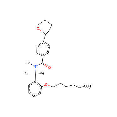 [2H]C([2H])(c1ccccc1OCCCCCC(=O)O)N(C(=O)c1ccc(C2CCCCO2)cc1)C(C)C